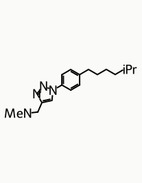 CNCc1cn(-c2ccc(CCCCC(C)C)cc2)nn1